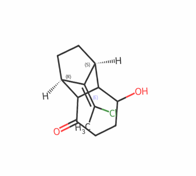 C/C(Cl)=C1/[C@H]2CC[C@@H]1C1C(=O)CCC(O)C12